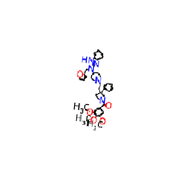 COc1cc(C(=O)N2CCC(CCN3CCC(N(Cc4ccco4)c4nc5ccccc5[nH]4)CC3)(c3ccccc3)C2)cc(OC)c1OC